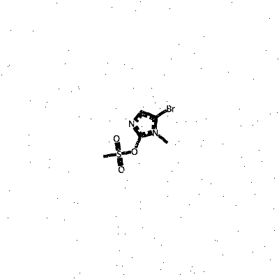 Cn1c(Br)cnc1OS(C)(=O)=O